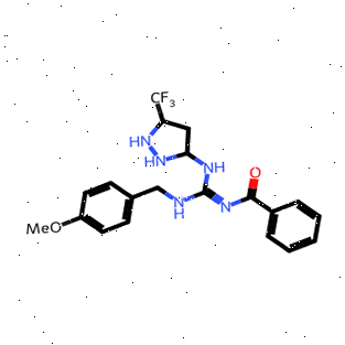 COc1ccc(CN/C(=N/C(=O)c2ccccc2)NC2CC(C(F)(F)F)NN2)cc1